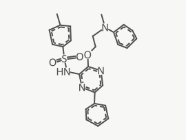 Cc1ccc(S(=O)(=O)Nc2nc(-c3ccccc3)cnc2OCCN(C)c2ccccc2)cc1